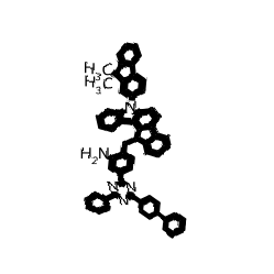 CC1(C)c2ccccc2-c2ccc(-n3c4ccccc4c4c5c(ccc43)-c3ccccc3C5Cc3ccc(-c4nc(C5=CC=C(c6ccccc6)CC5)nc(-c5ccccc5)n4)cc3N)cc21